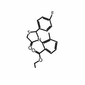 CCOC(=O)c1cccc(C)c1N1C(=O)CSC1c1ccc(F)cc1